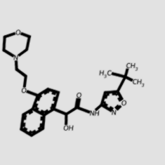 CC(C)(C)c1cc(NC(=O)C(O)c2ccc(OCCN3CCOCC3)c3ccccc23)no1